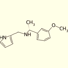 COc1cccc([C@@H](C)NCc2ccc[nH]2)c1